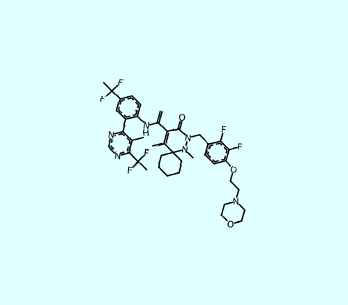 C=C(Nc1ccc(C(C)(F)F)cc1-c1ncnc(C(C)(F)F)c1C)C1=C(C)C2(CCCCC2)N(C)N(Cc2ccc(OCCN3CCOCC3)c(F)c2F)C1=O